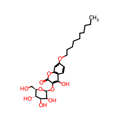 CCCCCCCCCCOc1ccc2c(O)c(O[C@@H]3O[C@H](CO)[C@@H](O)[C@H](O)[C@@H]3O)c(=O)oc2c1